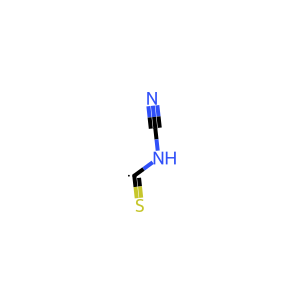 N#CN[C]=S